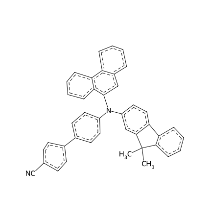 CC1(C)c2ccccc2-c2ccc(N(c3ccc(-c4ccc(C#N)cc4)cc3)c3cc4ccccc4c4ccccc34)cc21